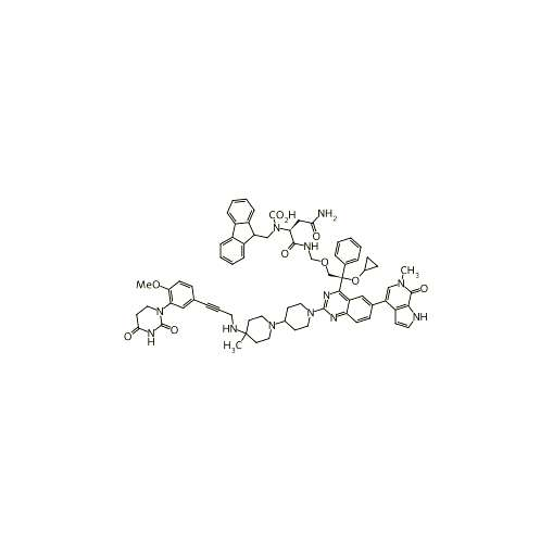 COc1ccc(C#CCNC2(C)CCN(C3CCN(c4nc([C@@](COCNC(=O)[C@H](CC(N)=O)N(CC5c6ccccc6-c6ccccc65)C(=O)O)(OC5CC5)c5ccccc5)c5cc(-c6cn(C)c(=O)c7[nH]ccc67)ccc5n4)CC3)CC2)cc1N1CCC(=O)NC1=O